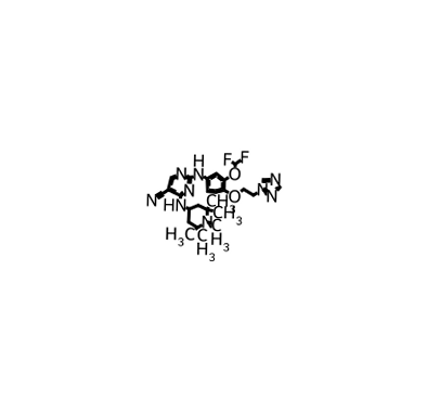 CN1C(C)(C)CC(Nc2nc(Nc3ccc(OCCn4cncn4)c(OC(F)F)c3)ncc2C#N)CC1(C)C